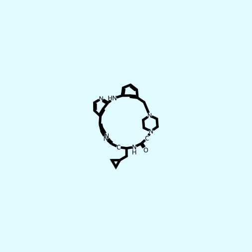 O=C1CN2CCN(CC2)Cc2cccc(c2)Nc2cc(ccn2)-c2cnc(nc2)CC(CC2CC2)N1